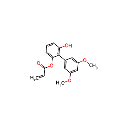 C=CC(=O)Oc1cccc(O)c1-c1cc(OC)cc(OC)c1